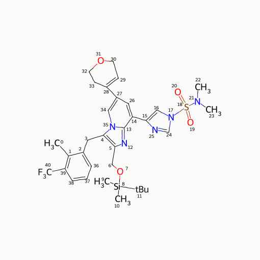 Cc1c(Cc2c(CO[Si](C)(C)C(C)(C)C)nc3c(-c4cn(S(=O)(=O)N(C)C)cn4)cc(C4=CCOCC4)cn23)cccc1C(F)(F)F